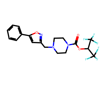 O=C(OC(C(F)(F)F)C(F)(F)F)N1CCN(Cc2cc(-c3ccccc3)on2)CC1